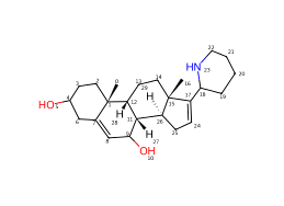 C[C@]12CCC(O)CC1=CC(O)[C@@H]1[C@H]2CC[C@]2(C)C(C3CCCCN3)=CC[C@@H]12